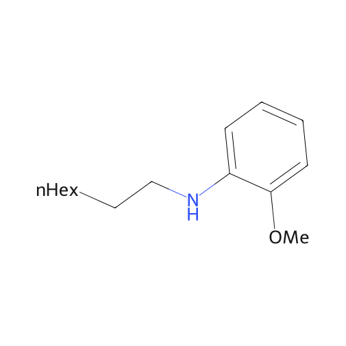 CCCCCCCCNc1ccccc1OC